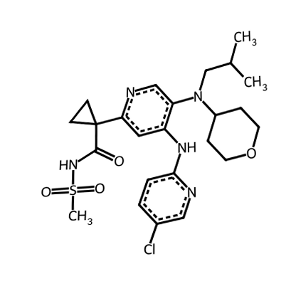 CC(C)CN(c1cnc(C2(C(=O)NS(C)(=O)=O)CC2)cc1Nc1ccc(Cl)cn1)C1CCOCC1